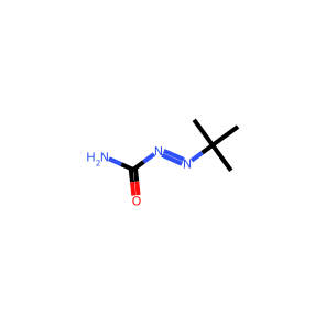 CC(C)(C)/N=N/C(N)=O